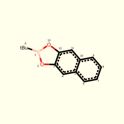 CC(C)(C)B1Oc2cc3ccccc3cc2O1